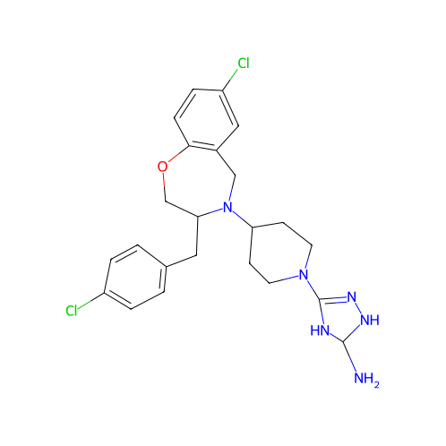 NC1NN=C(N2CCC(N3Cc4cc(Cl)ccc4OCC3Cc3ccc(Cl)cc3)CC2)N1